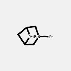 CC(C)N1CC2CC(C1)N2C(C)(C)C